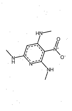 CNc1cc(NC)c([N+](=O)[O-])c(NC)n1